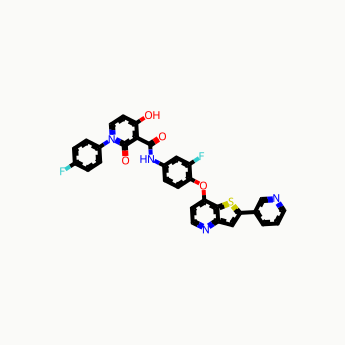 O=C(Nc1ccc(Oc2ccnc3cc(-c4cccnc4)sc23)c(F)c1)c1c(O)ccn(-c2ccc(F)cc2)c1=O